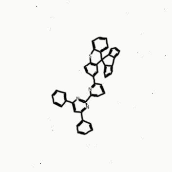 c1ccc(-c2cc(-c3ccccc3)nc(-c3cccc(-c4ccc5c(c4)C4(c6ccccc6S5)c5ccccc5-c5ccccc54)n3)n2)cc1